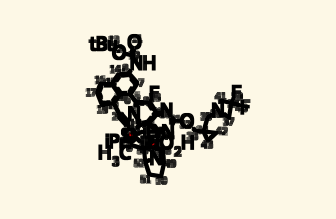 CC1Oc2nc(-c3cc(NC(=O)OC(C)(C)C)cc4cccc(C#C[Si](C(C)C)(C(C)C)C(C)C)c34)c(F)c3nc(OCC4(CN5CC(F)(F)C5)CC4)nc(c23)N2CC3CCC(C12)N3C(=O)O